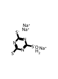 O.[Na+].[Na+].[Na+].[S-]c1nc([S-])nc([S-])n1